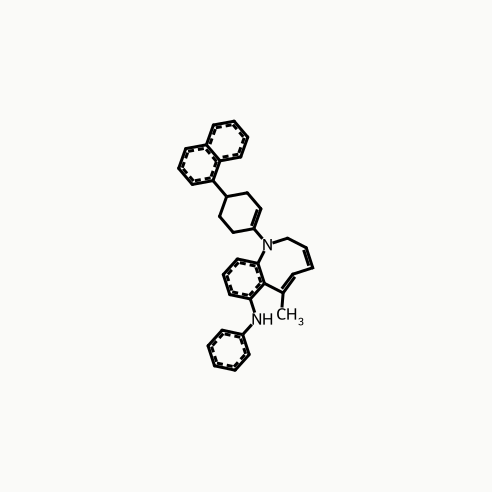 C/C1=C\C=C/CN(C2=CCC(c3cccc4ccccc34)CC2)c2cccc(Nc3ccccc3)c21